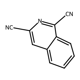 N#Cc1cc2ccccc2c(C#N)n1